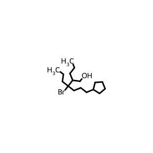 CCCC(CO)C(Br)(CCC)CCCC1CCCC1